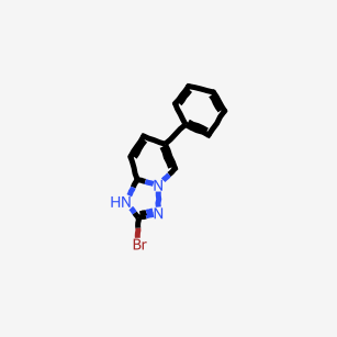 BrC1=NN2C=C(c3ccccc3)C=CC2N1